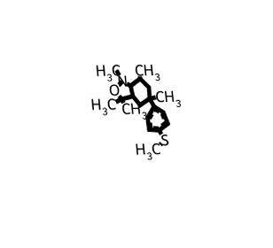 CSc1ccc(C2(C)CC(C)C3C(C2)C(C)(C)ON3C)cc1